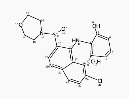 O=C(O)c1cccc(O)c1Nc1c([S+]([O-])N2CCOCC2)cnc2ccc(Cl)cc12